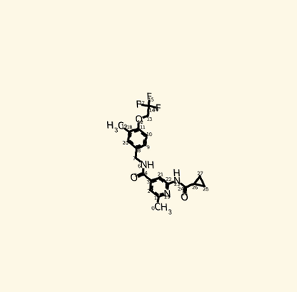 Cc1cc(C(=O)NCc2ccc(OCC(F)(F)F)c(C)c2)cc(NC(=O)C2CC2)n1